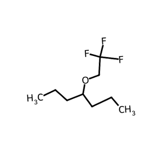 CCCC(CCC)OCC(F)(F)F